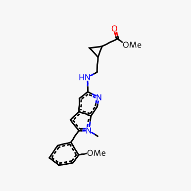 COC(=O)C1CC1CNc1cc2cc(-c3ccccc3OC)n(C)c2cn1